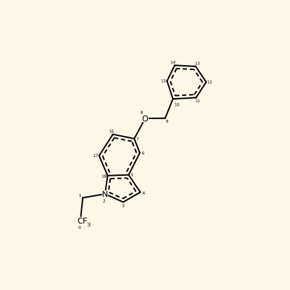 FC(F)(F)Cn1ccc2cc(OCc3ccccc3)ccc21